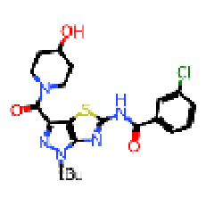 CC(C)(C)n1nc(C(=O)N2CCC(O)CC2)c2sc(NC(=O)c3cccc(Cl)c3)nc21